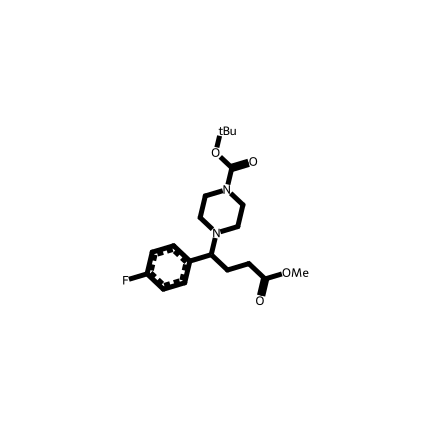 COC(=O)CCC(c1ccc(F)cc1)N1CCN(C(=O)OC(C)(C)C)CC1